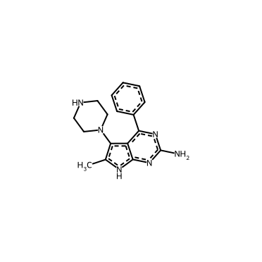 Cc1[nH]c2nc(N)nc(-c3ccccc3)c2c1N1CCNCC1